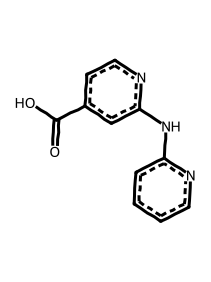 O=C(O)c1ccnc(Nc2ccccn2)c1